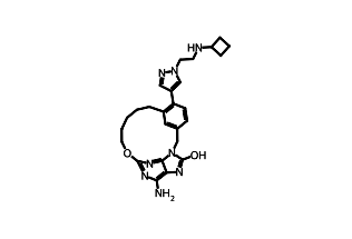 Nc1nc2nc3c1nc(O)n3Cc1ccc(-c3cnn(CCNC4CCC4)c3)c(c1)CCCCCO2